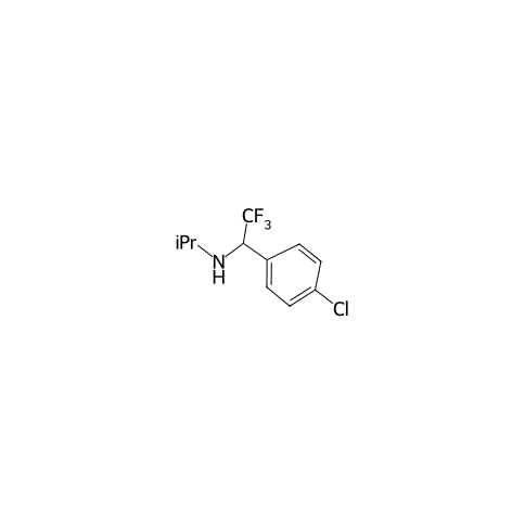 CC(C)NC(c1ccc(Cl)cc1)C(F)(F)F